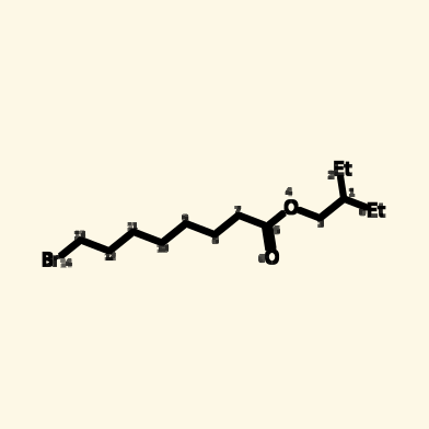 CCC(CC)COC(=O)CCCCCCCBr